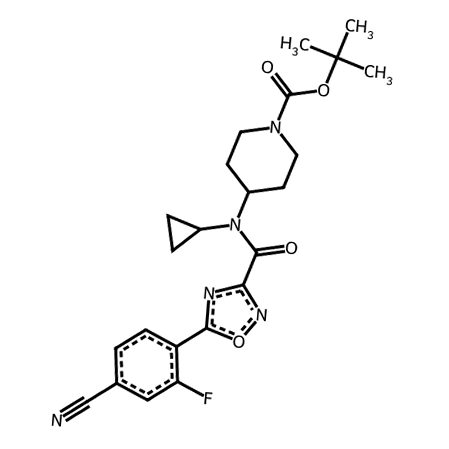 CC(C)(C)OC(=O)N1CCC(N(C(=O)c2noc(-c3ccc(C#N)cc3F)n2)C2CC2)CC1